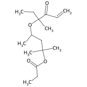 C=CC(=O)C(C)(CC)OC(C)CC(C)(C)OC(=O)CC